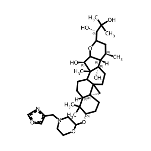 C[C@@H]1CC([C@H](O)C(C)(C)O)OC2[C@H]1[C@@]1(C)CCC34C[C@@]35CC[C@H](OC3CN(Cc6cocn6)CCO3)C(C)(C)[C@@H]5CCC4C1(C)[C@H]2O